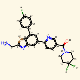 NCc1nc2cc(-c3ccc(C(=O)N4CCC(F)(F)CC4)cn3)cc(-c3ccc(F)cc3)c2s1